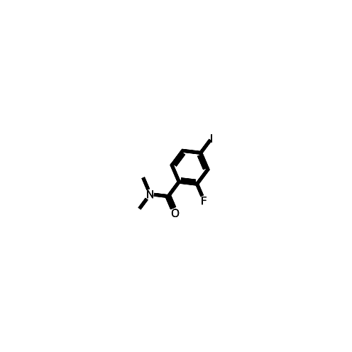 CN(C)C(=O)c1ccc(I)cc1F